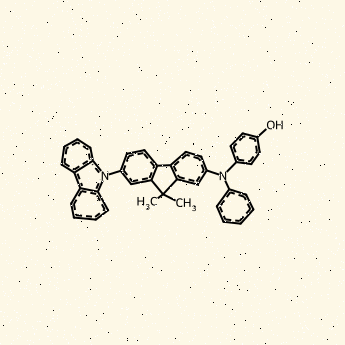 CC1(C)c2cc(N(c3ccccc3)c3ccc(O)cc3)ccc2-c2ccc(-n3c4ccccc4c4ccccc43)cc21